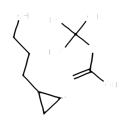 CC(C)(C)OC(=O)O.CCCCC1CC1